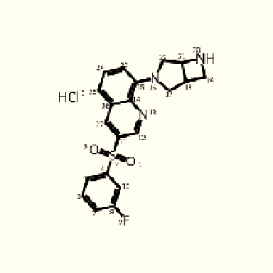 Cl.O=S(=O)(c1cccc(F)c1)c1cnc2c(N3CC4CNC4C3)cccc2c1